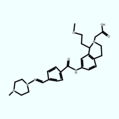 COCCC1c2cc(NC(=O)c3ccc(C=NN4CCN(C)CC4)cc3)ccc2CCN1CC(=O)O